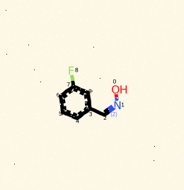 O/N=C\c1c[c]cc(F)c1